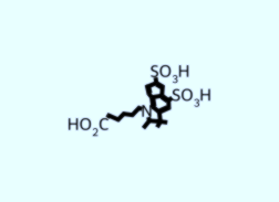 CC1N(CCCCCC(=O)O)c2c(cc(S(=O)(=O)O)c3cc(S(=O)(=O)O)ccc23)C1(C)C